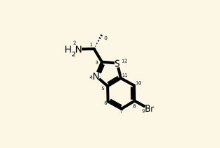 C[C@@H](N)c1nc2ccc(Br)cc2s1